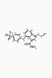 NC(=O)c1cn(CCF)c2cccc(Cc3ccc(C(F)(F)F)cc3)c12